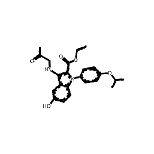 CCOC(=O)c1c(NCC(C)=O)c2cc(O)ccc2n1-c1ccc(OC(C)C)cc1